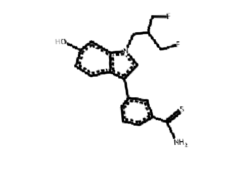 NC(=S)c1cccc(-c2cn(CC(CF)CF)c3cc(O)ccc23)c1